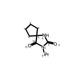 CC(C)N1C(=O)NC2(CCCC2)C1=O